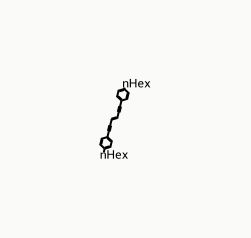 CCCCCCc1ccc(C#C/C=C/C#Cc2ccc(CCCCCC)cc2)cc1